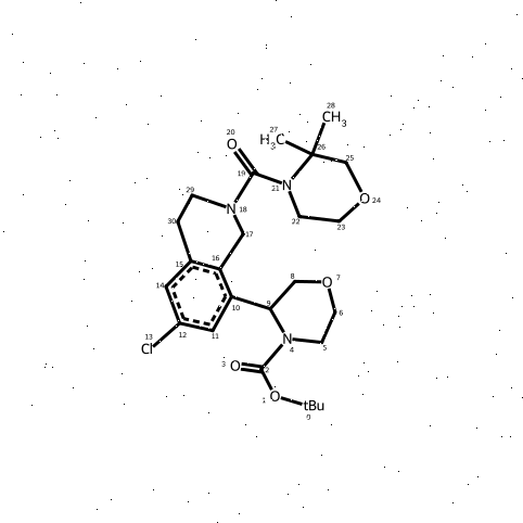 CC(C)(C)OC(=O)N1CCOCC1c1cc(Cl)cc2c1CN(C(=O)N1CCOCC1(C)C)CC2